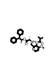 COc1ccnc(CN[C@@H](C)C(=O)O[C@@H](C)C(c2ccccc2)c2ccccc2)c1OC(=O)C(C)C